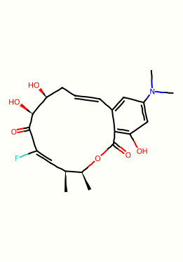 C[C@@H]1OC(=O)c2c(O)cc(N(C)C)cc2/C=C/C[C@H](O)[C@H](O)C(=O)/C(F)=C\[C@@H]1C